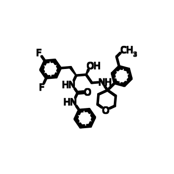 CCc1cccc(C2(NC[C@H](O)[C@H](Cc3cc(F)cc(F)c3)NC(=O)Nc3ccccc3)CCOCC2)c1